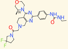 CCNC(=O)Nc1ccc(-c2nc3c(c(N4CCOC[C@@H]4C)n2)CCN(CC(=O)N2CCC(F)(F)C2)C3)cc1